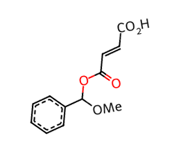 COC(OC(=O)C=CC(=O)O)c1ccccc1